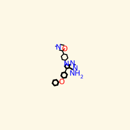 CN1CCOC(C2CCC(n3cc(-c4ccc(Oc5ccccc5)cc4)c4c(N)ncnc43)CC2)C1